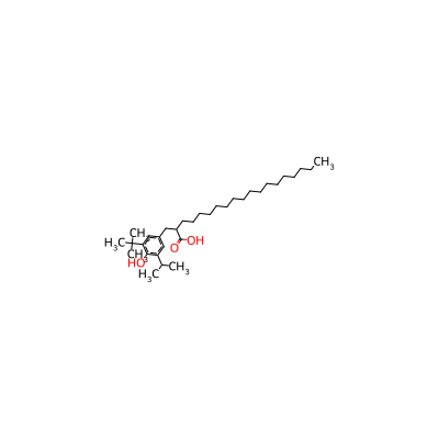 CCCCCCCCCCCCCCCCCC(Cc1cc(C(C)C)c(O)c(C(C)(C)C)c1)C(=O)O